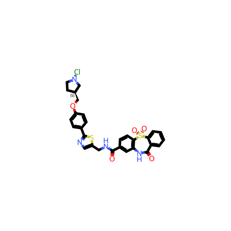 O=C(NCc1cnc(-c2ccc(OC[C@H]3CCN(Cl)C3)cc2)s1)c1ccc2c(c1)NC(=O)c1ccccc1S2(=O)=O